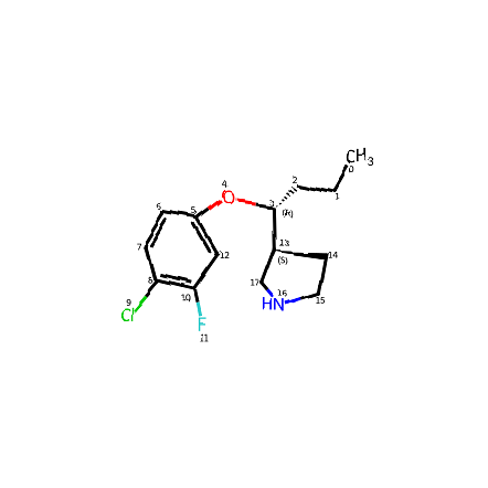 CCC[C@@H](Oc1ccc(Cl)c(F)c1)[C@H]1CCNC1